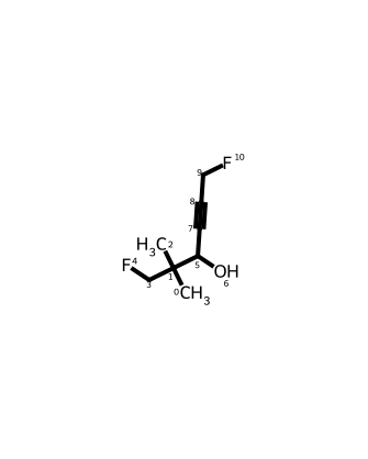 CC(C)(CF)C(O)C#CCF